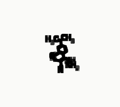 CC(C)c1ccc(C(NN)=C(C#N)C#N)c(Cl)c1